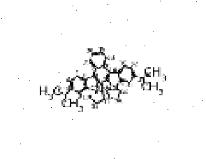 CC(C)c1ccc2c(c1)[Si]1(CCCC1)c1c3c(c4ccccc4c1-2)-c1ccc(C(C)C)cc1[Si]31CCCC1